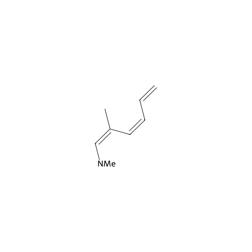 C=C/C=C\C(C)=C/NC